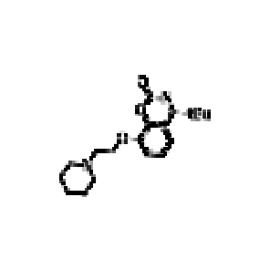 CC(C)(C)c1nc(=O)oc2c(OCCN3CCCCC3)cccc12